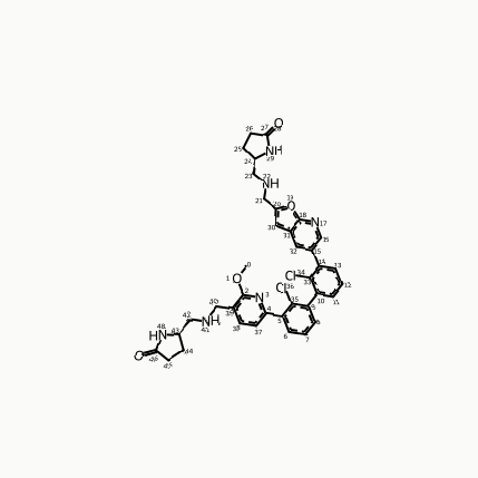 COc1nc(-c2cccc(-c3cccc(-c4cnc5oc(CNC[C@H]6CCC(=O)N6)cc5c4)c3Cl)c2Cl)ccc1CNC[C@H]1CCC(=O)N1